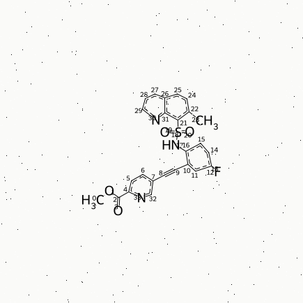 COC(=O)c1ccc(C#Cc2cc(F)ccc2NS(=O)(=O)c2c(C)ccc3cccnc23)cn1